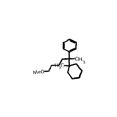 COCCCCC(C)(c1ccccc1)C1(C)CCCCC1